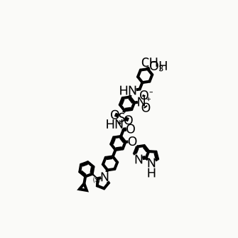 CC1(O)CCC(CNc2ccc(S(=O)(=O)NC(=O)c3ccc(C4=CCC(N5CCC[C@H]5c5ccccc5C5CC5)CC4)cc3Oc3cnc4[nH]ccc4c3)cc2[N+](=O)[O-])CC1